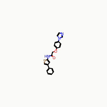 O=C(COc1ccc(-n2ccnc2)cc1)Nc1cc(-c2ccccc2)cs1